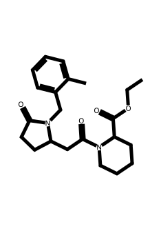 CCOC(=O)C1CCCCN1C(=O)CC1CCC(=O)N1Cc1ccccc1C